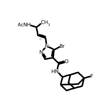 CC(=O)NC(C)/C=C/n1ncc(C(=O)NC2C3CC4CC2CC(F)(C4)C3)c1Br